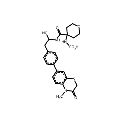 CN1C(=O)CSc2cc(-c3ccc(CC(C#N)NC(=O)C4(NC(=O)O)CCOCC4)cc3)ccc21